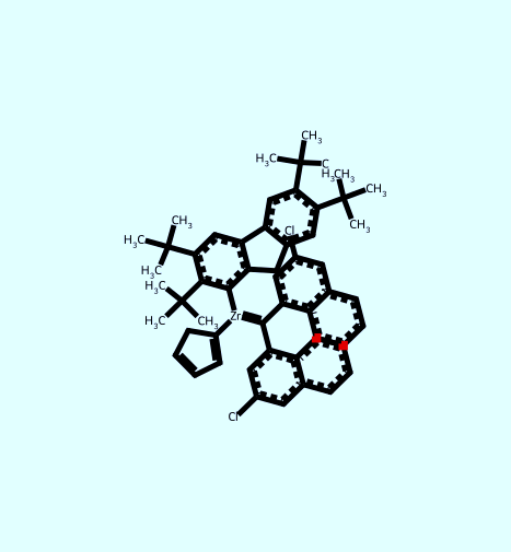 CC(C)(C)c1cc2c(cc1C(C)(C)C)-c1cc(C(C)(C)C)c(C(C)(C)C)[c]([Zr]([C]3=CC=CC3)=[C](c3cc(Cl)cc4ccccc34)c3cc(Cl)cc4ccccc34)c1C2